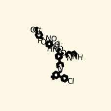 C[S+]([O-])N1CCC(F)(COc2ccc([S+]([O-])NC(=O)c3ccc(C4=CCN(CC5=C(c6ccc(Cl)cc6)CC(C)(C)CC5)CC4)cc3Oc3cnc4[nH]ccc4c3)cc2[N+](=O)[O-])CC1